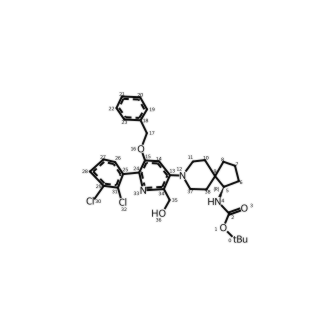 CC(C)(C)OC(=O)N[C@@H]1CCCC12CCN(c1cc(OCc3ccccc3)c(-c3cccc(Cl)c3Cl)nc1CO)CC2